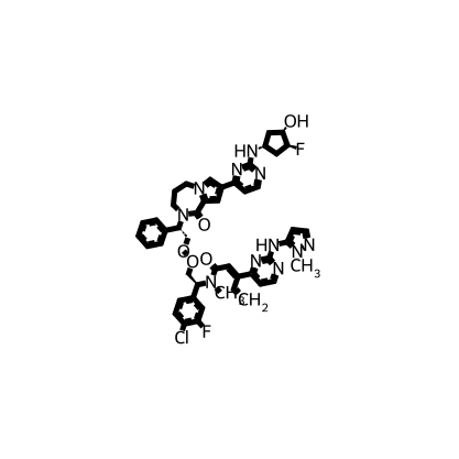 C=C/C(=C\C(=O)N(C)[C@H](COOC[C@H](c1ccccc1)N1CCCn2cc(-c3ccnc(N[C@@H]4C[C@H](O)[C@@H](F)C4)n3)cc2C1=O)c1ccc(Cl)c(F)c1)c1ccnc(Nc2ccnn2C)n1